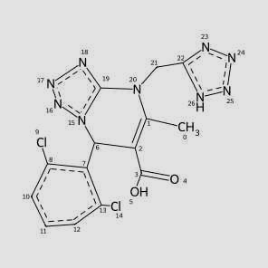 CC1=C(C(=O)O)C(c2c(Cl)cccc2Cl)n2nnnc2N1Cc1nnn[nH]1